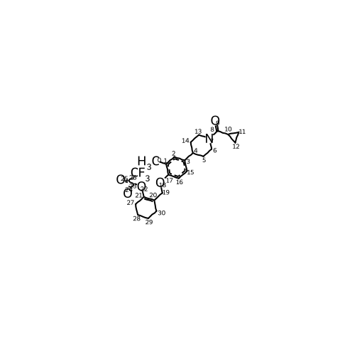 Cc1cc(C2CCN(C(=O)C3CC3)CC2)ccc1OCC1=C(OS(=O)(=O)C(F)(F)F)CCCC1